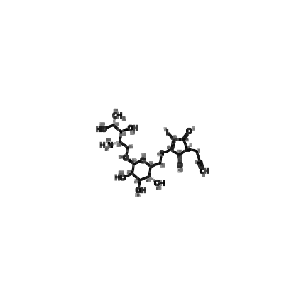 C#CCN1C(=O)C(I)=C(SCC2O[C@H](OC[C@H](N)[C@H](O)[C@@H](C)O)C(O)C(O)[C@H]2O)C1=O